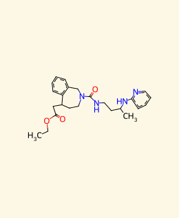 CCOC(=O)CC1CCN(C(=O)NCCC(C)Nc2ccccn2)Cc2ccccc21